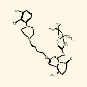 CC1=C(/C=C(\C)OCCCCN2CCN(c3cccc(Cl)c3Cl)CC2)N(COC(=O)NC(C)(C)CC(C)(C)C)C(=O)CC1